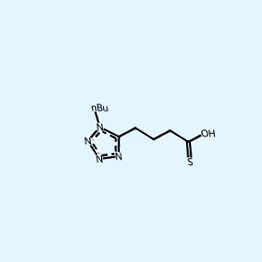 CCCCn1nnnc1CCCC(O)=S